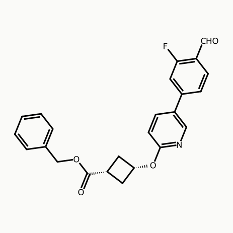 O=Cc1ccc(-c2ccc(O[C@H]3C[C@@H](C(=O)OCc4ccccc4)C3)nc2)cc1F